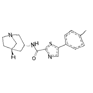 Cc1ccc(-c2cnc(C(=O)N[C@@H]3C[C@@H]4CCN(C4)C3)s2)cc1